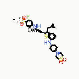 COc1cc(S(C)(=O)=O)c(F)cc1NCC#Cc1sc2c(NC3CCC(N4CCS(=O)(=O)CC4)CC3)cccc2c1CC1CC1